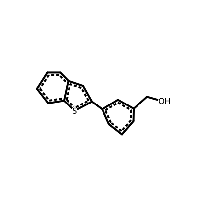 OCc1cccc(-c2cc3ccccc3s2)c1